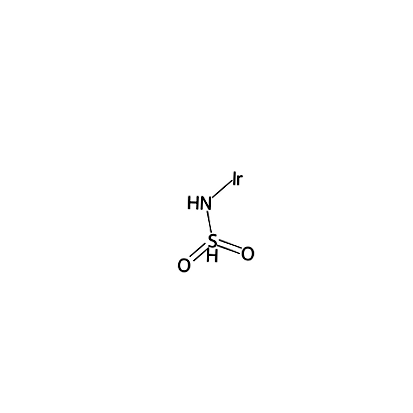 O=[SH](=O)[NH][Ir]